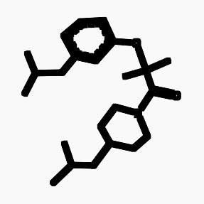 CC(C)Cc1cccc(OC(C)(C)C(=O)N2CCC(CC(C)C)CC2)c1